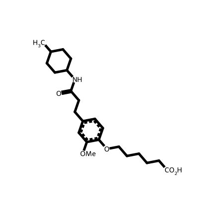 COc1cc(CCC(=O)NC2CCC(C)CC2)ccc1OCCCCCC(=O)O